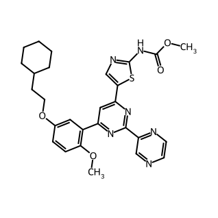 COC(=O)Nc1ncc(-c2cc(-c3cc(OCCC4CCCCC4)ccc3OC)nc(-c3cnccn3)n2)s1